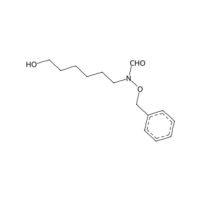 O=CN(CCCCCCO)OCc1ccccc1